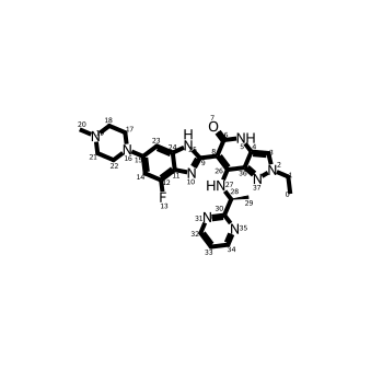 CCn1cc2[nH]c(=O)c(-c3nc4c(F)cc(N5CCN(C)CC5)cc4[nH]3)c(N[C@@H](C)c3ncccn3)c2n1